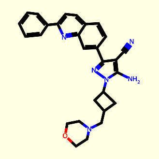 N#Cc1c(-c2ccc3ccc(-c4ccccc4)nc3c2)nn(C2CC(CN3CCOCC3)C2)c1N